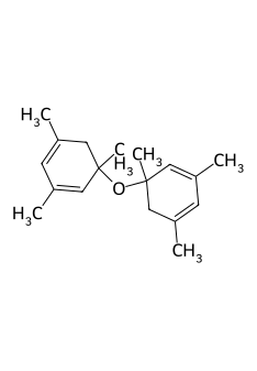 CC1=CC(C)(OC2(C)C=C(C)C=C(C)C2)CC(C)=C1